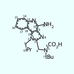 CC(C)Cn1c(CN(C(=O)O)C(C)(C)C)nc2c(N)nc3ccccc3c21